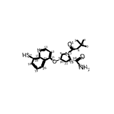 CC(C)(C)CC(=O)N1C[C@H](Oc2ccnc3c(S)cccc23)C[C@H]1C(N)=O